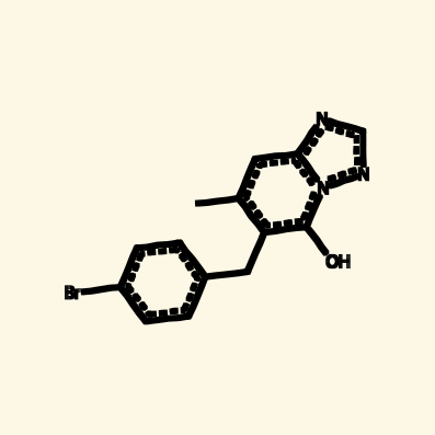 Cc1cc2ncnn2c(O)c1Cc1ccc(Br)cc1